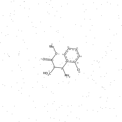 CC(C)(C)OC(=O)C(C(=O)O)C(N)c1ccccc1Cl